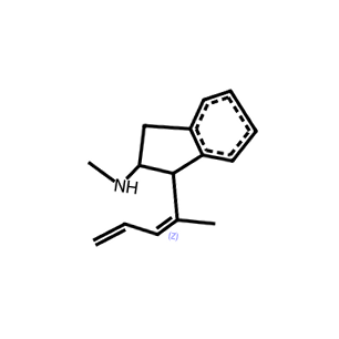 C=C/C=C(/C)C1c2ccccc2CC1NC